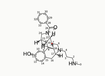 CNCCCN1CC[C@@]23c4cc(O)ccc4C[C@@H]1[C@]21CC[C@@H]2[C@H]3[C@@H](CN2C(=O)c2ccccc2)C1